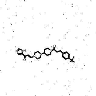 O=C(/C=C/N1CCN(C2CCN(C(=O)CCc3ccc(C(F)(F)F)cc3)CC2)CC1)c1cnc[nH]1